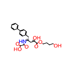 O=C(O)C(=O)N[C@H](Cc1ccc(-c2ccccc2)cc1)C[C@@H](O)C(=O)OCCCCO